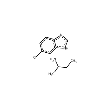 CCC(C)N.Clc1ccc2nc[nH]c2c1